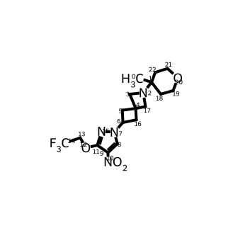 CC1(N2CC3(CC(n4cc([N+](=O)[O-])c(OCC(F)(F)F)n4)C3)C2)CCOCC1